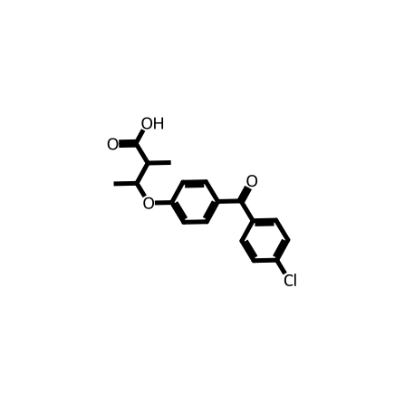 CC(Oc1ccc(C(=O)c2ccc(Cl)cc2)cc1)C(C)C(=O)O